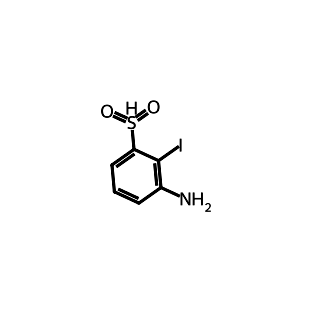 Nc1cccc([SH](=O)=O)c1I